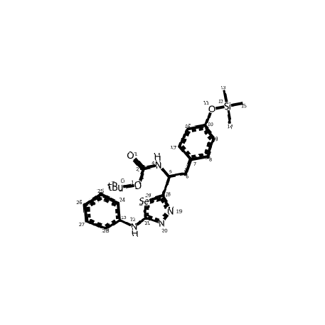 CC(C)(C)OC(=O)NC(Cc1ccc(O[Si](C)(C)C)cc1)c1nnc(Nc2ccccc2)[se]1